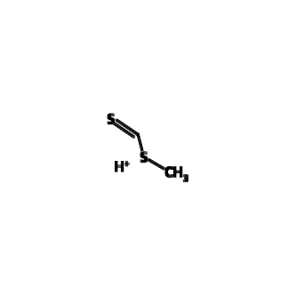 CSC=S.[H+]